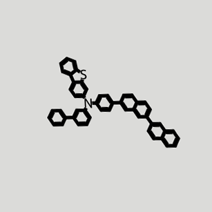 c1ccc(-c2cccc(N(c3ccc(-c4ccc5ccc(-c6ccc7ccccc7c6)cc5c4)cc3)c3ccc4c(c3)sc3ccccc34)c2)cc1